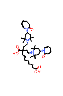 CC1(C)CC(N2C=CC=CCC2=O)CC(C)(C)N1CCC(CCCCCCCC(=O)O)(CCN1C(C)(C)CC(N2C=CC=CCC2=O)CC1(C)C)C(=O)O